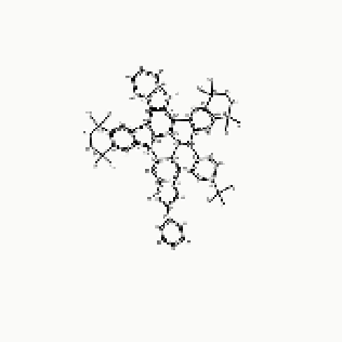 CC(C)(C)c1ccc(N2B3c4cc5cc(-c6ccccc6)sc5cc4-n4c5cc6c(cc5c5c7c(sc8ccccc87)c(c3c54)-c3cc4c(cc32)C(C)(C)CCC4(C)C)C(C)(C)CCC6(C)C)cc1